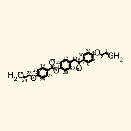 C=CCOc1ccc(C(=O)Cc2ccc(OC(=O)c3ccc(OCC=C)cc3)cc2)cc1